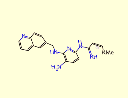 CN/C=C\C(=N)Nc1ccc(N)c(NCc2ccc3ncccc3c2)n1